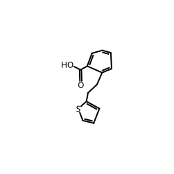 O=C(O)c1ccccc1CCc1cccs1